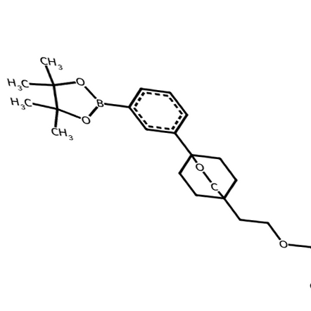 CC(C)(C)OC(=O)COCCC12CCC(c3cccc(B4OC(C)(C)C(C)(C)O4)c3)(CC1)OC2